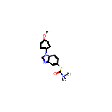 CCOc1ccc(-n2cnc3cc(SC(=O)N(CC)CC)ccc32)cc1